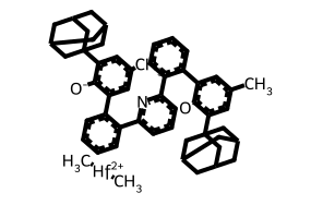 Cc1cc(-c2ccccc2-c2cccc(-c3ccccc3-c3cc(C)cc(C45CC6CC(CC(C6)C4)C5)c3[O-])n2)c([O-])c(C23CC4CC(CC(C4)C2)C3)c1.[CH3][Hf+2][CH3]